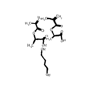 C=C(C)C(=O)OC(C)C(=O)O.C=C(C)C(=O)OC(C)C(=O)O.OCCCCO